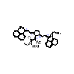 CCCCN(C(C)=O)C(=O)/C(C(C)=O)=C1C(=C\C=C(\C)c2cccc3cccc(C(C)C)c23)\CCC\1=C/C=c1\c2cccc3cccc(c32)n1C(C)CCC